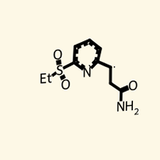 CCS(=O)(=O)c1cccc([CH]CC(N)=O)n1